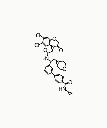 CN(C(=O)CN1C(=O)COc2cc(Cl)c(Cl)cc21)C(CN1CCOCC1)c1cccc(-c2ccc(C(=O)NC3CC3)cc2)c1